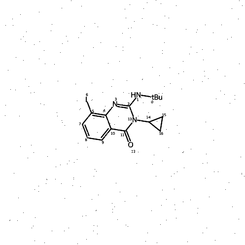 CC(C)(C)Nc1nc2c(I)cccc2c(=O)n1C1CC1